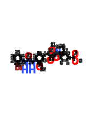 COC(=O)c1ccc(OC(OC)(C(=O)Cc2ccc(NC(=O)Nc3ccccc3Br)c(OC)c2)N2CCCC2)cc1